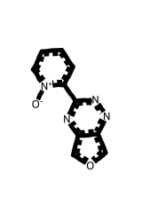 [O-][n+]1ccccc1-c1nnc2cocc2n1